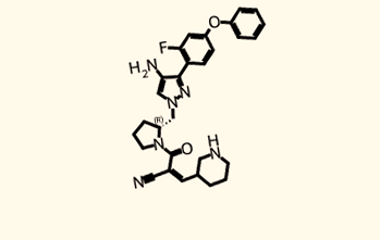 N#CC(=CC1CCCNC1)C(=O)N1CCC[C@@H]1Cn1cc(N)c(-c2ccc(Oc3ccccc3)cc2F)n1